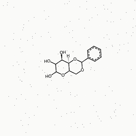 OC1OC2COC(c3ccccc3)O[C@@H]2[C@H](O)C1O